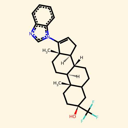 C[C@]12CC[C@@](O)(C(F)(F)F)CC1CC[C@@H]1[C@@H]2CC[C@]2(C)C(n3cnc4ccccc43)=CC[C@@H]12